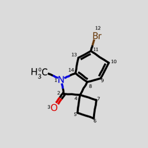 CN1C(=O)C2(CCC2)c2ccc(Br)cc21